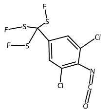 O=C=Nc1c(Cl)cc(C(SF)(SF)SF)cc1Cl